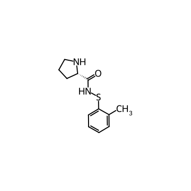 Cc1ccccc1SNC(=O)[C@@H]1CCCN1